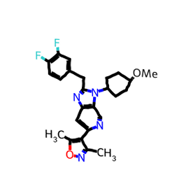 COC1CCC(n2c(Cc3ccc(F)c(F)c3)nc3cc(-c4c(C)noc4C)ncc32)CC1